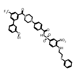 CCOc1cccc(-c2cc(C(=O)N3CCN(c4ccc(C(=O)NS(=O)(=O)c5ccc(NCCSc6ccccc6)c([N+](=O)[O-])c5)cc4)CC3)cc(C(F)(F)F)c2)c1